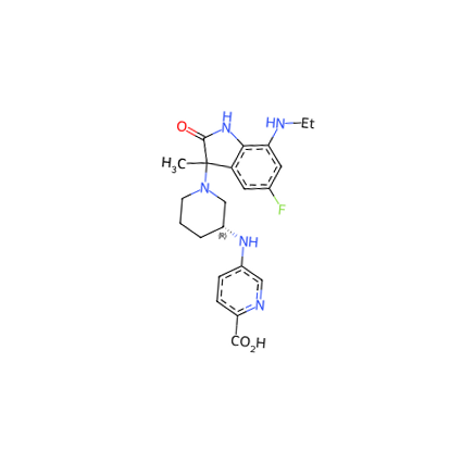 CCNc1cc(F)cc2c1NC(=O)C2(C)N1CCC[C@@H](Nc2ccc(C(=O)O)nc2)C1